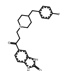 O=C(CCN1CCC(Cc2ccc(F)cc2)CC1)c1ccc2[nH]c(=O)[nH]c2c1